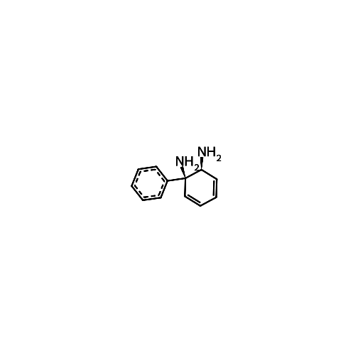 N[C@H]1C=CC=C[C@]1(N)c1ccccc1